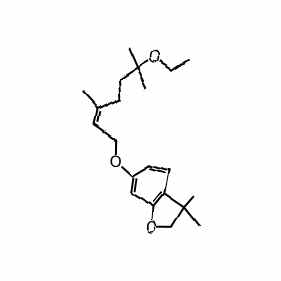 CCOC(C)(C)CCC(C)=CCOc1ccc2c(c1)OCC2(C)C